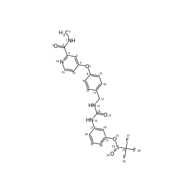 CNC(=O)c1cc(Oc2ccc(CNC(=O)Nc3cccc(OS(=O)C(F)(F)F)c3)cc2)ccn1